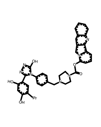 CC(C)c1cc(-c2nnc(O)n2-c2ccc(CN3CCN(C(=O)Oc4cccc5c6nc7ccccc7cc6cn45)CC3)cc2)c(O)cc1O